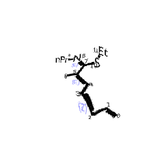 C=C\C=C/C=C(C)/C(=N\CCC)SCC